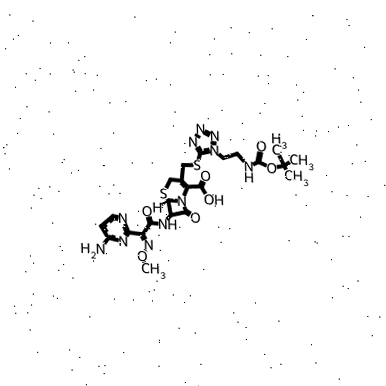 CON=C(C(=O)NC1C(=O)N2C(C(=O)O)=C(CSc3nnnn3CCNC(=O)OC(C)(C)C)CS[C@@H]12)c1nccc(N)n1